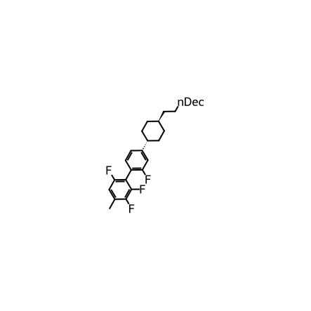 CCCCCCCCCCCC[C@H]1CC[C@H](c2ccc(-c3c(F)cc(C)c(F)c3F)c(F)c2)CC1